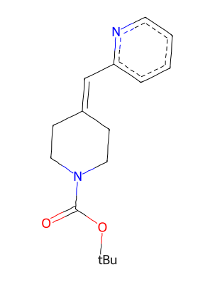 CC(C)(C)OC(=O)N1CCC(=Cc2ccccn2)CC1